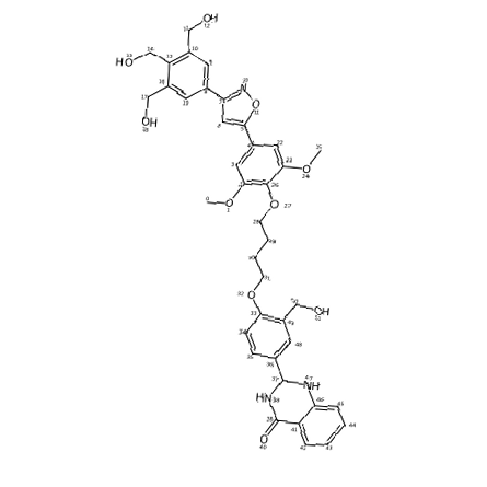 COc1cc(-c2cc(-c3cc(CO)c(CO)c(CO)c3)no2)cc(OC)c1OCCCCOc1ccc(C2NC(=O)c3ccccc3N2)cc1CO